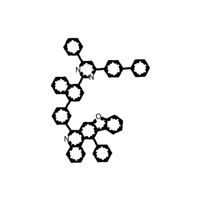 c1ccc(-c2ccc(-c3cc(-c4ccccc4)nc(-c4ccc(-c5cccc(-c6nc7ccccc7c7c(-c8ccccc8)c8c(cc67)oc6ccccc68)c5)c5ccccc45)n3)cc2)cc1